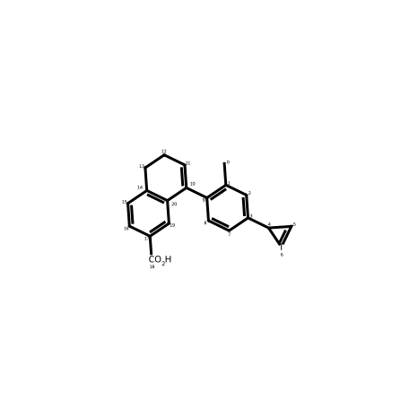 Cc1cc(C2C=I2)ccc1C1=CCCc2ccc(C(=O)O)cc21